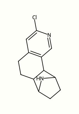 Clc1cc2c(cn1)C1C3CCC(N3)C1CC2